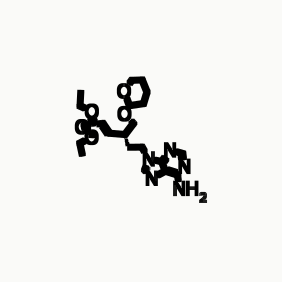 CCOP(=O)(C=C[C@@H](CCn1cnc2c(N)ncnc21)CO[C@H]1CCCCO1)OCC